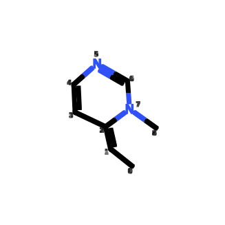 C/C=C1/C=CN=CN1C